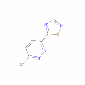 Clc1ccc(-c2ncns2)nn1